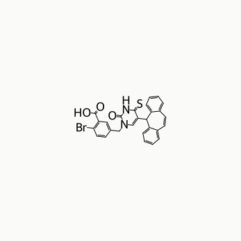 O=C(O)c1cc(Cn2cc(C3c4ccccc4C=Cc4ccccc43)c(=S)[nH]c2=O)ccc1Br